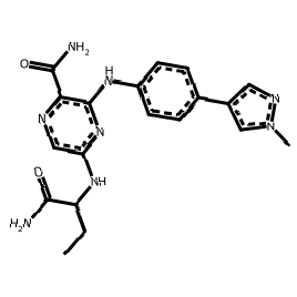 CCC(Nc1cnc(C(N)=O)c(Nc2ccc(-c3cnn(C)c3)cc2)n1)C(N)=O